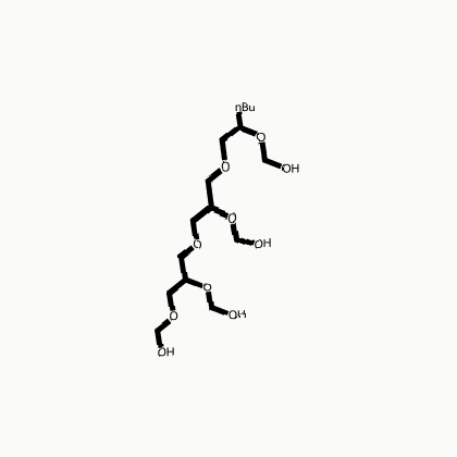 CCCCC(COCC(COCC(COCO)OCO)OCO)OCO